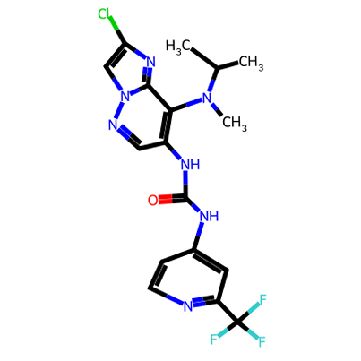 CC(C)N(C)c1c(NC(=O)Nc2ccnc(C(F)(F)F)c2)cnn2cc(Cl)nc12